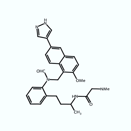 CNCC(=O)NC(C)CCc1ccccc1N(C=O)Cc1c(OC)ccc2cc(-c3cn[nH]c3)ccc12